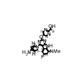 CNc1cc(F)cc2c1[nH]c1nc(Oc3cnc([C@@H](C)O)nc3)nc(N3C[C@H]4C[C@@H]3C[C@H]4N)c12